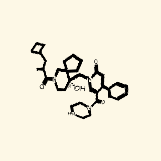 CC(CC1CCC1)C(=O)N1CC[C@](O)(Cn2cc(C(=O)N3CCNCC3)c(-c3ccccc3)cc2=O)C2(CCCC2)C1